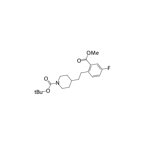 COC(=O)c1cc(F)ccc1CCC1CCN(C(=O)OC(C)(C)C)CC1